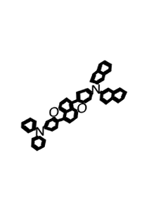 c1ccc(N(c2ccccc2)c2ccc3c(c2)Oc2ccc4c5c(ccc-3c25)Oc2cc(N(c3ccc5ccccc5c3)c3ccc5ccccc5c3)ccc2-4)cc1